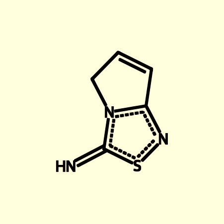 N=c1snc2n1CC=C2